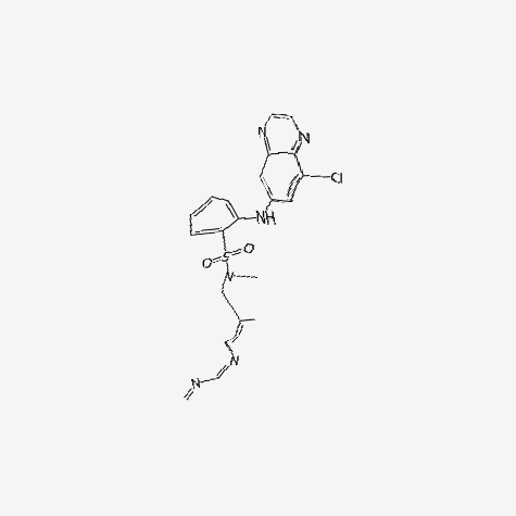 C=N/C=N\C=C(/C)CN(C)S(=O)(=O)c1ccccc1Nc1cc(Cl)c2nccnc2c1